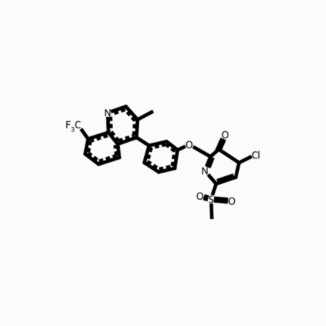 Cc1cnc2c(C(F)(F)F)cccc2c1-c1cccc(OC2=NC(S(C)(=O)=O)=CC(Cl)C2=O)c1